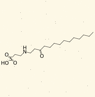 CCCCCCCCCCCC(=O)CCNCCS(=O)(=O)O